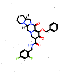 O=C(NCc1ccc(F)cc1F)C1CN2C[C@H]3N(C[C@H]4CCCCN43)C(=O)C2=C(OCc2ccccc2)C1=O